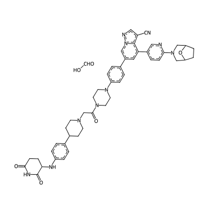 N#Cc1cnn2cc(-c3ccc(N4CCN(C(=O)CN5CCC(c6ccc(NC7CCC(=O)NC7=O)cc6)CC5)CC4)cc3)cc(-c3ccc(N4CC5CCC(C4)O5)nc3)c12.O=CO